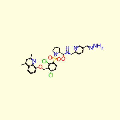 Cc1cc(C)c2cccc(OCc3c(Cl)ccc(S(=O)(=O)N4CCC[C@H]4C(=O)NCc4ccc(C=NN)cn4)c3Cl)c2n1